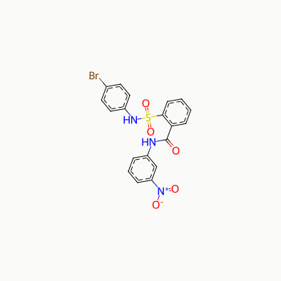 O=C(Nc1cccc([N+](=O)[O-])c1)c1ccccc1S(=O)(=O)Nc1ccc(Br)cc1